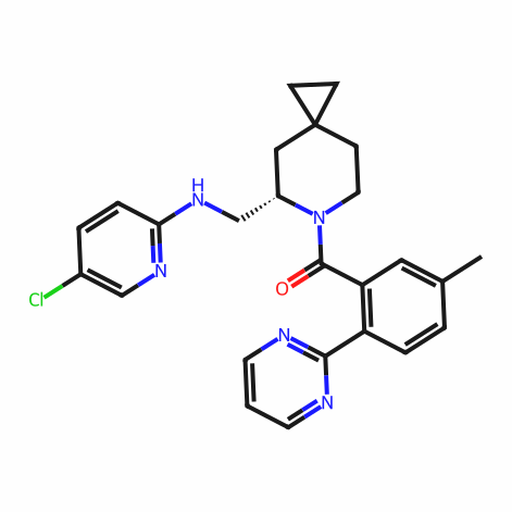 Cc1ccc(-c2ncccn2)c(C(=O)N2CCC3(CC3)C[C@H]2CNc2ccc(Cl)cn2)c1